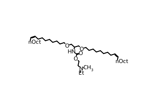 CCCCCCCC/C=C\CCCCCCCCOCC(COCCCCCCCC/C=C\CCCCCCCC)NC(=O)OCCN(C)CC